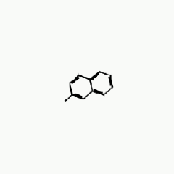 [CH2]Cc1[c]c2ccccc2cc1